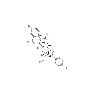 C[C@]12C=CC(=O)C=C1[C@@H](F)C[C@H]1[C@@H]3C[C@H]4CN(c5ccc(Cl)cc5)O[C@@]4(C(=O)SCF)[C@@]3(C)C[C@H](O)[C@@]12F